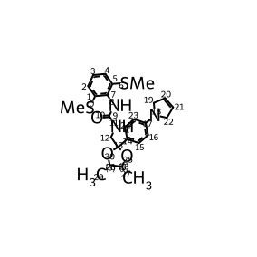 CSc1cccc(SC)c1NC(=O)NCC1(c2ccc(N3CC=CC3)cc2)O[C@@H](C)[C@H](C)O1